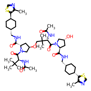 CC(=O)N[C@H](C(=O)N1C[C@H](OCC(C)(C)[C@H](NC(C)=O)C(=O)N2C[C@H](O)C[C@H]2C(=O)NC[C@H]2CC[C@@H](c3scnc3C)CC2)C[C@H]1C(=O)NC[C@H]1CC[C@H](c2scnc2C)CC1)C(C)(C)C